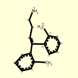 Cc1ccccc1C(=CCCN)c1ccccc1C